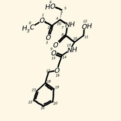 COC(=O)[C@H](CO)NC(=O)C(CO)NC(=O)OCc1ccccc1